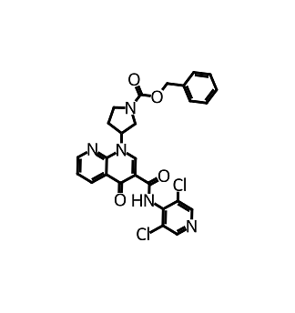 O=C(Nc1c(Cl)cncc1Cl)c1cn(C2CCN(C(=O)OCc3ccccc3)C2)c2ncccc2c1=O